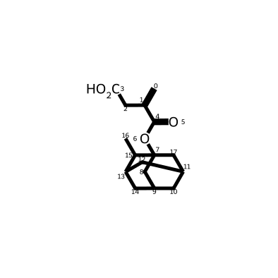 C=C(CC(=O)O)C(=O)OC12CC3CC(CC(C3)C1C)C2